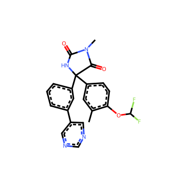 Cc1cc(C2(c3cccc(-c4cncnc4)c3)NC(=O)N(C)C2=O)ccc1OC(F)F